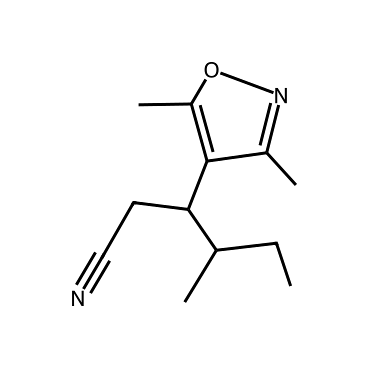 CCC(C)C(CC#N)c1c(C)noc1C